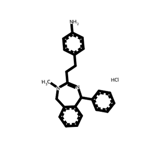 CN1Cc2ccccc2C(c2ccccc2)N=C1CCc1ccc(N)cc1.Cl